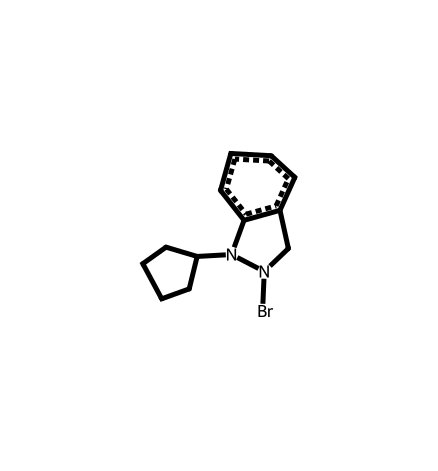 BrN1Cc2ccccc2N1C1CCCC1